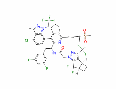 Cc1nn(CC(F)(F)F)c2c(-c3c([C@H](Cc4cc(F)cc(F)c4)NC(=O)Cn4nc(C(F)(F)F)c5c4C(F)(F)[C@@H]4CC[C@H]54)nc(C#CC(C)(C)S(C)(=O)=O)c4c3CCC4)ccc(Cl)c12